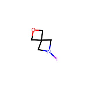 IN1CC2(COC2)C1